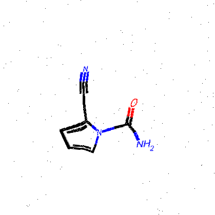 N#Cc1cccn1C(N)=O